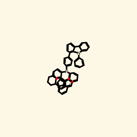 c1ccc(-n2c3ccccc3c3cccc(-c4ccc(N(c5ccccc5-c5cccc6cccc(C7CCCCC7)c56)c5cccc6oc7ccccc7c56)cc4)c32)cc1